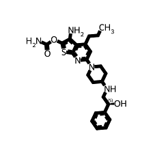 CCCc1cc(N2CCC(NC[C@@H](O)c3ccccc3)CC2)nc2sc(OC(N)=O)c(N)c12